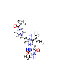 C=c1[nH]c(=O)c(=Cc2nc(CCCN3CCN(C(=O)CC)CC3)[nH]c2C(C)C)[nH]c1=O